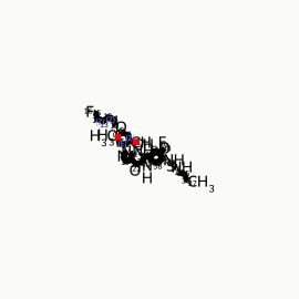 CC/C=C(\C(C)=C/C(C)OC/C=C\C=C/CF)n1ncc(C(=O)c2cc3cc(OF)c(NSNCCCC)cc3[nH]2)c1NC